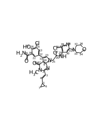 Cn1c(/C=C/C2CC2)nc2c(c(-c3cc(Cl)c(O)c(C(N)=O)c3)cn2CC(=O)Nc2cc(N3CCOCC3)ncc2Cl)c1=O